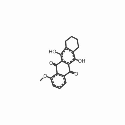 COc1cccc2c1C(=O)c1c(O)c3c(c(O)c1C2=O)CCCC3